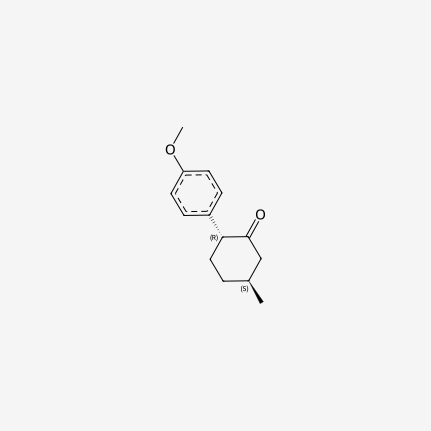 COc1ccc([C@H]2CC[C@H](C)CC2=O)cc1